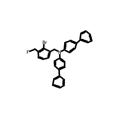 FCc1cccc(CN(c2ccc(-c3ccccc3)cc2)c2ccc(-c3ccccc3)cc2)c1Br